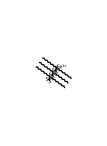 CCCCCCCCCCN(CCCCCCCCCC)C(=S)[S-].CCCCCCCCCCN(CCCCCCCCCC)C(=S)[S-].CCCCCCCCCCN(CCCCCCCCCC)C(=S)[S-].[Fe+3]